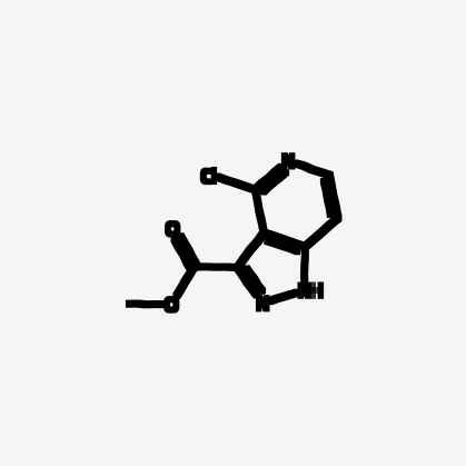 COC(=O)c1n[nH]c2ccnc(Cl)c12